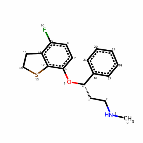 CNCC[C@H](Oc1ccc(F)c2c1SCC2)c1ccccc1